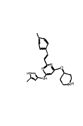 Cc1ccc(/C=C/c2nc(Nc3cc(C)[nH]n3)cc(OC3CCNCC3)n2)cc1